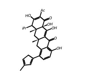 CC(=O)C1=C(O)C(C(C)C)[C@@]2(C)C[C@@]3(C)Cc4c(C5=CC(C)=CC5)ccc(O)c4C(=O)C3=C(O)[C@@]2(O)C1=O